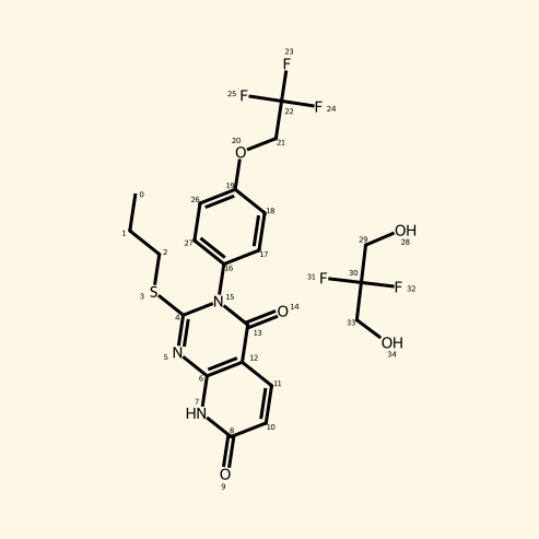 CCCSc1nc2[nH]c(=O)ccc2c(=O)n1-c1ccc(OCC(F)(F)F)cc1.OCC(F)(F)CO